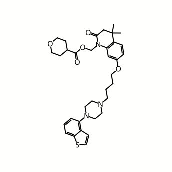 CC1(C)CC(=O)N(COC(=O)C2CCOCC2)c2cc(OCCCCN3CCN(c4cccc5sccc45)CC3)ccc21